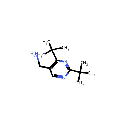 CC(C)(C)c1ncc(CN)c(C(C)(C)C)n1